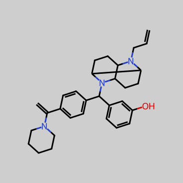 C=CCN1C2CCC3C1CCC2N3C(c1ccc(C(=C)N2CCCCC2)cc1)c1cccc(O)c1